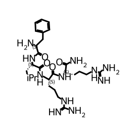 CC(C)C[C@H](NC(=O)[C@@H](N)Cc1ccccc1)C(=O)N[C@@H](CCCNC(=N)N)C(=O)N[C@@H](CCCNC(=N)N)C(N)=O